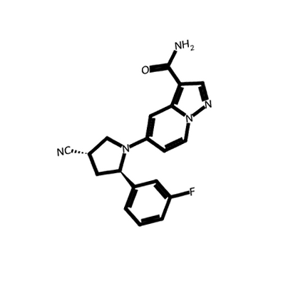 N#C[C@H]1C[C@H](c2cccc(F)c2)N(c2ccn3ncc(C(N)=O)c3c2)C1